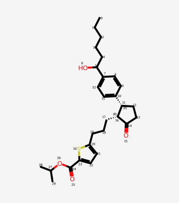 CCCCCC(O)c1ccc([C@@H]2CCC(=O)[C@@H]2CCCc2ccc(C(=O)OC(C)C)s2)cc1